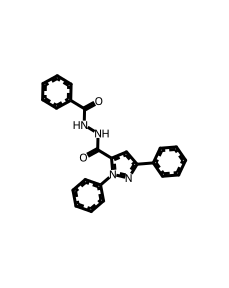 O=C(NNC(=O)c1cc(-c2ccccc2)nn1-c1ccccc1)c1ccccc1